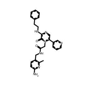 Cc1nc(N)ccc1CNC(=O)Cn1c(-c2cccnc2)cnc(NCCc2ccccc2)c1=O